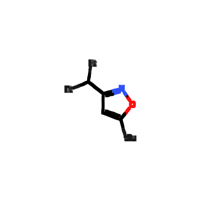 CCC(CC)c1cc(C(C)(C)C)on1